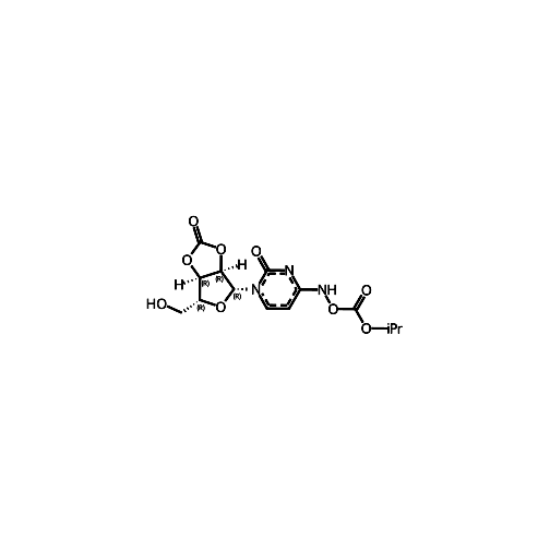 CC(C)OC(=O)ONc1ccn([C@@H]2O[C@H](CO)[C@H]3OC(=O)O[C@H]32)c(=O)n1